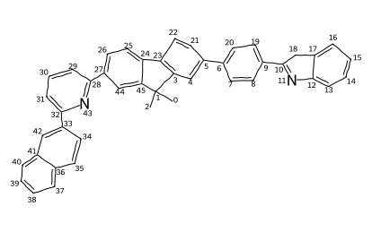 CC1(C)c2cc(-c3ccc(C4=Nc5ccccc5C4)cc3)ccc2-c2ccc(-c3cccc(-c4ccc5ccccc5c4)n3)cc21